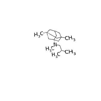 CC(C)CN(C)C12CC3CC(C)(CC(C)(C3)C1)C2